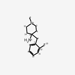 CN1CCC(N)(Cc2ccccc2F)CC1